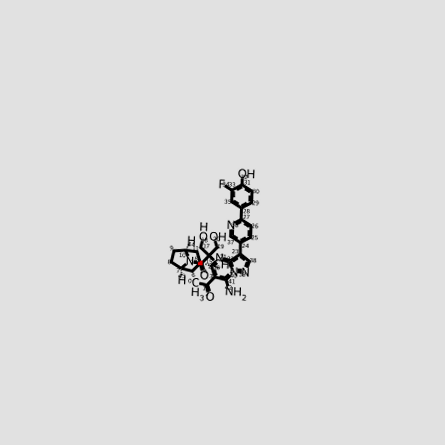 CC(=O)c1c([C@@H]2C[C@H]3CC[C@@H](C2)N3C(=O)C(C)(CO)CO)nc2c(-c3ccc(-c4ccc(O)c(F)c4)nc3)cnn2c1N